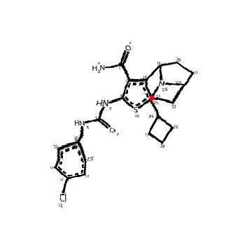 NC(=O)c1c(NC(=O)Nc2ccc(Cl)cc2)sc2c1C1CCC(C2)N1CC1CCC1